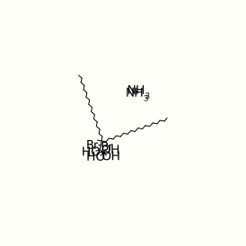 CCCCCCCCCCCCCCCCCCC(C)(CCCCCCCCCCCCCCCCCC)C(Br)(Br)C(O)C(O)(O)O.N.N